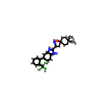 CC1(C)CCC2(CC1)CC(c1nc3cc(-c4ccccc4C(F)(F)F)ccc3[nH]1)=NO2